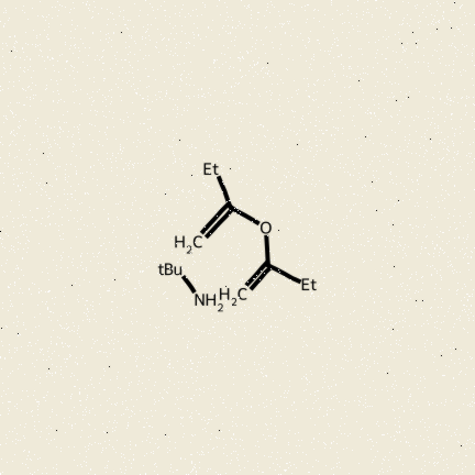 C=C(CC)OC(=C)CC.CC(C)(C)N